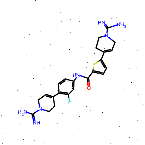 N=C(N)N1CC=C(c2ccc(C(=O)Nc3ccc(C4=CCN(C(=N)N)CC4)c(F)c3)s2)CC1